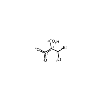 CCC(CC)C(C(=O)O)=S(=O)=O